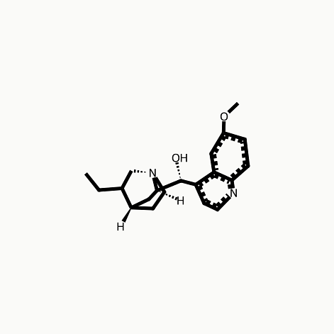 CCC1C[N@]2CC[C@H]1C[C@@H]2[C@H](O)c1ccnc2ccc(OC)cc12